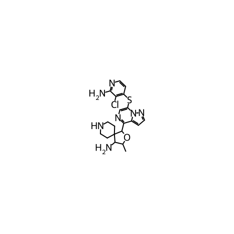 CC1OC(c2ncc(Sc3ccnc(N)c3Cl)n3nccc23)C2(CCNCC2)C1N